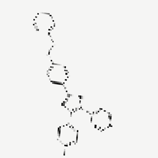 Fc1ccc(-c2nc(-c3ccc(OCc4ccccc4)cc3)[nH]c2-c2ccncc2)cc1